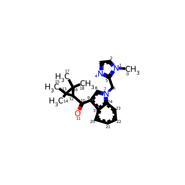 Cn1ccnc1Cn1cc(C(=O)C2C(C)(C)C2(C)C)c2ccccc21